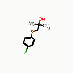 CC(O)(C#N)CSc1ccc(F)cc1